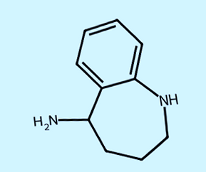 NC1CCCNc2ccccc21